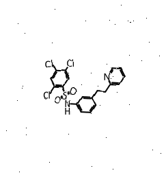 O=S(=O)(Nc1cccc(CCc2ccccn2)c1)c1cc(Cl)c(Cl)cc1Cl